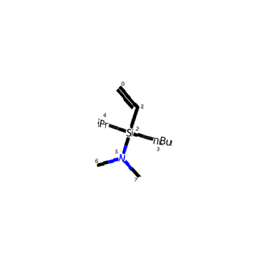 C=C[Si](CCCC)(C(C)C)N(C)C